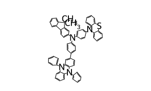 CC1(C)c2ccccc2-c2ccc(N(c3ccc(-c4ccc5c(c4)N(c4ccccc4)c4ccccc4N5c4ccccc4)cc3)c3ccc(N4c5ccccc5Sc5ccccc54)cc3)cc21